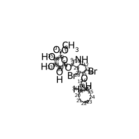 COC(=O)[C@H]1O[C@@H](Oc2c[nH]c3cc(Br)c(OC[C@@H]4[C@@H]5CCC#CCC[C@@H]54)c(Br)c23)[C@H](O)[C@@H](O)[C@@H]1O